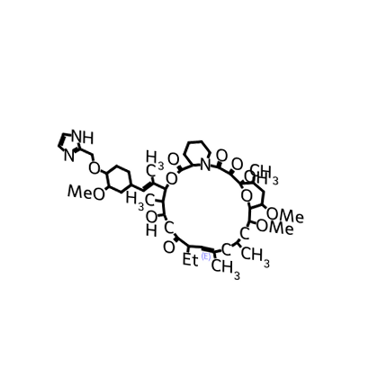 CCC1/C=C(\C)CC(C)CC(OC)C2OC(O)(C(=O)C(=O)N3CCCCC3C(=O)OC(C(C)=CC3CCC(OCc4ncc[nH]4)C(OC)C3)C(C)C(O)CC1=O)C(C)CC2OC